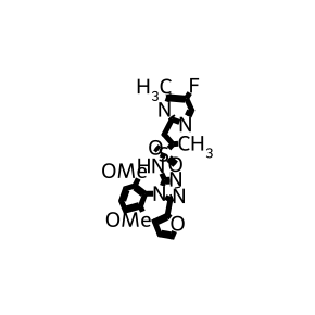 COc1cccc(OC)c1-n1c(NS(=O)(=O)C(C)Cc2ncc(F)c(C)n2)nnc1-c1ccco1